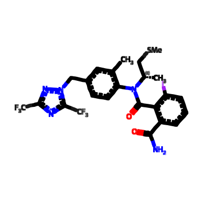 CSC[C@H](C)N(C(=O)c1c(I)cccc1C(N)=O)c1ccc(Cn2nc(C(F)(F)F)nc2C(F)(F)F)cc1C